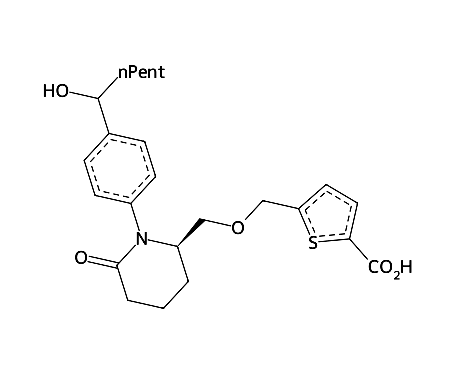 CCCCCC(O)c1ccc(N2C(=O)CCC[C@@H]2COCc2ccc(C(=O)O)s2)cc1